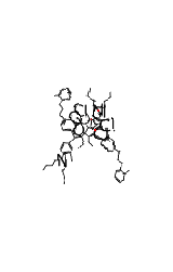 CCCCN(CCCC)c1ccc(C(=C(CC)C2(C(CC)=C(c3ccc(CCCc4ccccc4C)cc3)c3ccc(N(CCCC)CCCC)c(C)c3)OC(=O)c3c(Cl)c(Cl)c(Cl)c(Cl)c32)c2ccc(CCCc3ccccc3C)cc2)cc1C